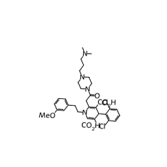 COc1cccc(CCN2C=C(C(=O)O)C(c3c(Cl)cccc3Cl)C(C(=O)O)=C2CC(=O)N2CCN(CCCN(C)C)CC2)c1